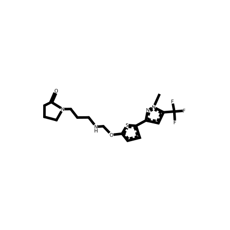 Cn1nc(-c2ccc(OCNCCCN3CCCC3=O)s2)cc1C(F)(F)F